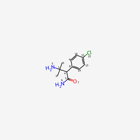 CC(C)(N)C(C(N)=O)c1ccc(Cl)cc1